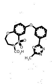 Cc1nnc(-c2cccc(Oc3ccc4c(c3)S(=O)(=O)N(C(=O)O)CCO4)c2)o1